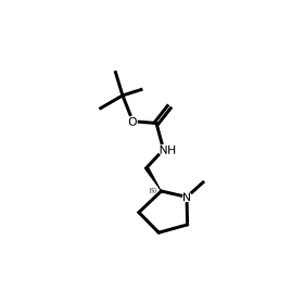 C=C(NC[C@@H]1CCCN1C)OC(C)(C)C